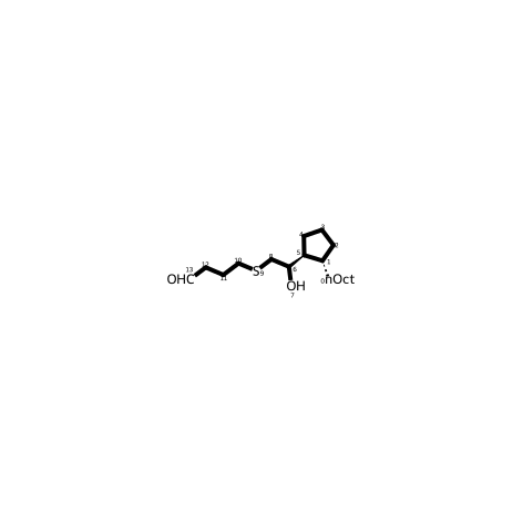 CCCCCCCC[C@H]1CCC[C@@H]1C(O)CSCCCC=O